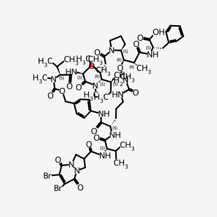 CC[C@H](C)[C@@H]([C@@H](CC(=O)N1CCC[C@H]1[C@H](OC)[C@@H](C)C(=O)N[C@@H](Cc1ccccc1)C(=O)O)OC)N(C)C(=O)[C@@H](NC(=O)[C@H](C(C)C)N(C)C(=O)OCc1ccc(NC(=O)[C@H](CCCNC(N)=O)NC(=O)[C@@H](NC(=O)C2Cn3c(=O)c(Br)c(Br)c(=O)n3C2)C(C)C)cc1)C(C)C